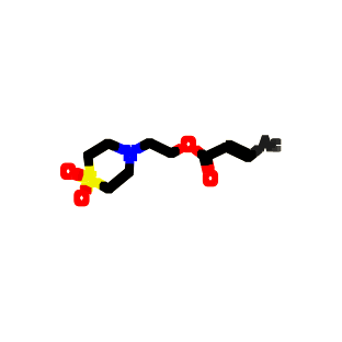 CC(=O)/C=C/C(=O)OCCN1CCS(=O)(=O)CC1